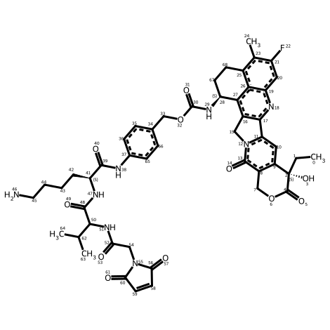 CC[C@@]1(O)C(=O)OCc2c1cc1n(c2=O)Cc2c-1nc1cc(F)c(C)c3c1c2[C@@H](NC(=O)OCc1ccc(NC(=O)[C@H](CCCCN)NC(=O)C(NC(=O)CN2C(=O)C=CC2=O)C(C)C)cc1)CC3